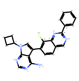 Nc1ncnc2c1c(-c1ccc3cnc(-c4ccccc4)nc3c1F)cn2C1CCC1